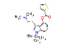 CN(C)CCc1cn([Si](C)(C)C(C)(C)C)c2cccc(OC(=O)c3cccs3)c12